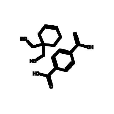 O=C(O)c1ccc(C(=O)O)cc1.OCC1(CO)CC=CCC1